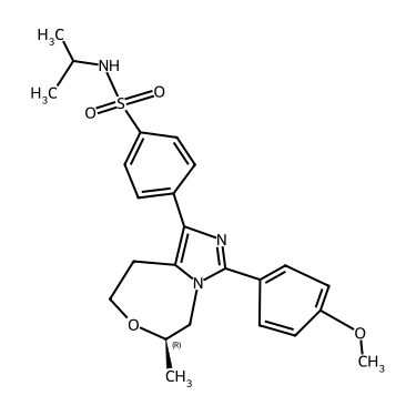 COc1ccc(-c2nc(-c3ccc(S(=O)(=O)NC(C)C)cc3)c3n2C[C@@H](C)OCC3)cc1